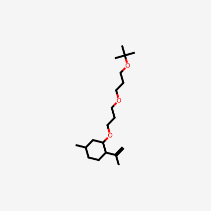 C=C(C)C1CCC(C)CC1OCCCOCCCOC(C)(C)C